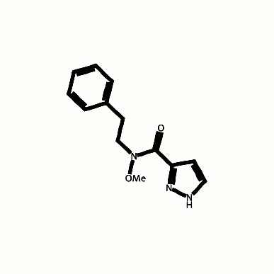 CON(CCc1ccccc1)C(=O)c1cc[nH]n1